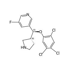 Fc1cncc([C@@H](Oc2cc(Cl)c(Cl)cc2Cl)[C@@H]2CCNC2)c1